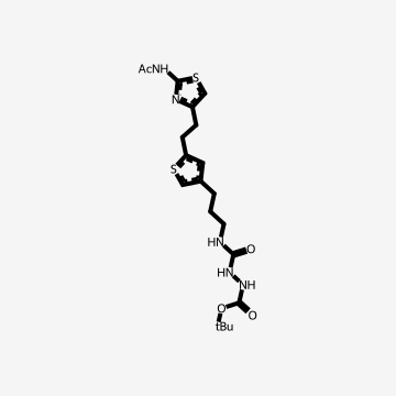 CC(=O)Nc1nc(CCc2cc(CCCNC(=O)NNC(=O)OC(C)(C)C)cs2)cs1